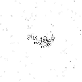 CC(C)(C)[C@H](c1nc(-c2cc(F)ccc2F)cn1Cc1ccccc1)N(CC[C@H](N)C(=O)N[C@@H](CCC(=O)NCCN1C(=O)C=CC1=O)C(=O)O)C(=O)CO